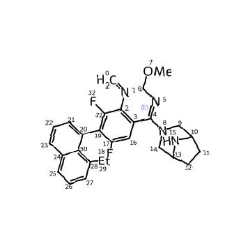 C=Nc1c(/C(=N\COC)N2CC3CCC(C2)N3)cc(F)c(-c2cccc3cccc(CC)c23)c1F